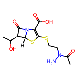 CC(=O)N(N)CCSC1=C(C(=O)O)N2C(=O)[C@H](C(C)O)[C@H]2S1